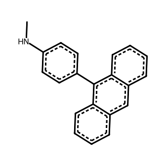 CNc1ccc(-c2c3ccccc3cc3ccccc23)cc1